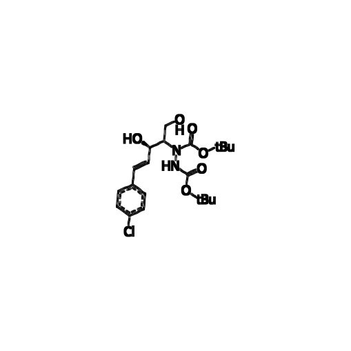 CC(C)(C)OC(=O)NN(C(=O)OC(C)(C)C)C(CO)[C@H](O)C=Cc1ccc(Cl)cc1